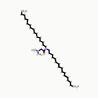 CN(C)CC(=O)N(CCCCCCCCCCCCCCCCC(=O)O)CCCCCCCCCCCCCCCCC(=O)O